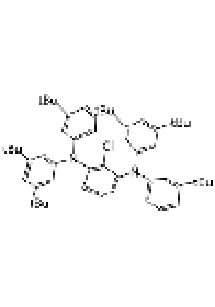 CC(C)(C)c1cccc(N(c2cc(C(C)(C)C)cc(C(C)(C)C)c2)c2cccc(N(c3cccc(C(C)(C)C)c3)c3cc(C(C)(C)C)cc(C(C)(C)C)c3)c2Cl)c1